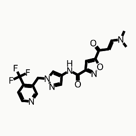 CN(C)C=CC(=O)c1cc(C(=O)Nc2cnn(Cc3cnccc3C(F)(F)F)c2)no1